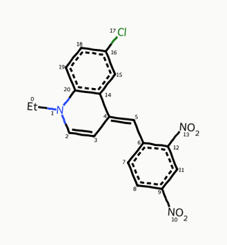 CCN1C=CC(=Cc2ccc([N+](=O)[O-])cc2[N+](=O)[O-])c2cc(Cl)ccc21